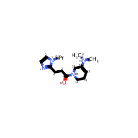 CC(C)n1ccnc1CCC(=O)N1CCC=C(N(C)C)C1